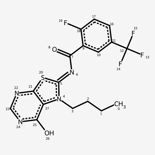 CCCCn1/c(=N/C(=O)c2cc(C(F)(F)F)ccc2F)sc2ncnc(O)c21